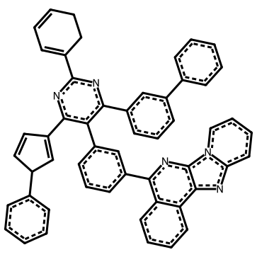 C1=CCCC(c2nc(C3=CC(c4ccccc4)C=C3)c(-c3cccc(-c4nc5c(nc6ccccn65)c5ccccc45)c3)c(-c3cccc(-c4ccccc4)c3)n2)=C1